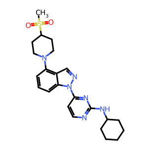 CS(=O)(=O)C1CCN(c2cccc3c2cnn3-c2ccnc(NC3CCCCC3)n2)CC1